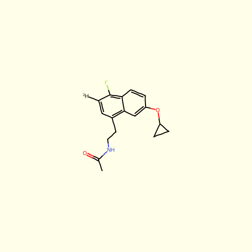 [2H]c1cc(CCNC(C)=O)c2cc(OC3CC3)ccc2c1F